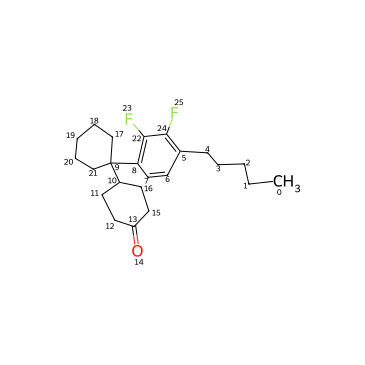 CCCCCc1ccc(C2(C3CCC(=O)CC3)CCCCC2)c(F)c1F